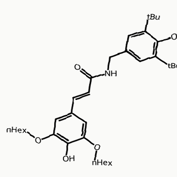 CCCCCCOc1cc(C=CC(=O)NCc2cc(C(C)(C)C)c(O)c(C(C)(C)C)c2)cc(OCCCCCC)c1O